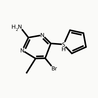 Cc1nc(N)nc([SH]2C=CC=C2)c1Br